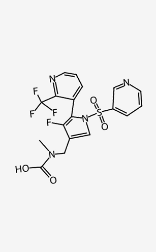 CN(Cc1cn(S(=O)(=O)c2cccnc2)c(-c2cccnc2C(F)(F)F)c1F)C(=O)O